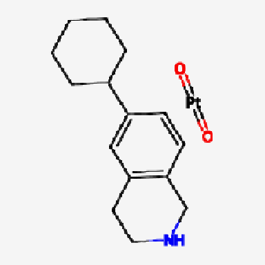 [O]=[Pt]=[O].c1cc2c(cc1C1CCCCC1)CCNC2